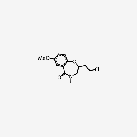 COc1ccc2c(c1)C(=O)N(C)CC(CCCl)O2